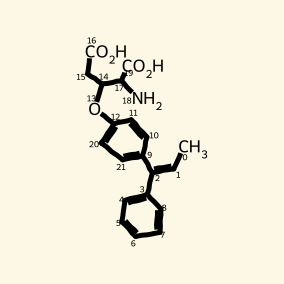 CC=C(c1ccccc1)c1ccc(OC(CC(=O)O)C(N)C(=O)O)cc1